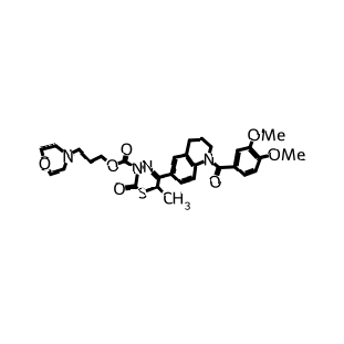 COc1ccc(C(=O)N2CCCc3cc(C4=NN(C(=O)OCCCN5CCOCC5)C(=O)SC4C)ccc32)cc1OC